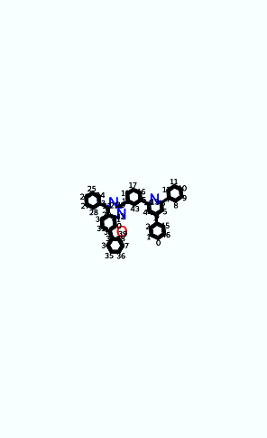 c1ccc(-c2cc(-c3ccccc3)nc(-c3cccc(-c4nc(-c5ccccc5)c5ccc6c7ccccc7oc6c5n4)c3)c2)cc1